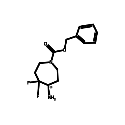 N[C@@H]1CCN(C(=O)OCc2ccccc2)CCC1(F)F